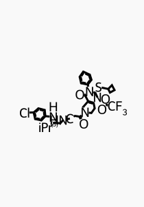 CC(C)[C@@H](CNCCC(=O)N1CCC2=C(C1)C(=O)N(c1ccccc1)C(SC1CCC1)N2OC(=O)C(F)(F)F)Nc1ccc(Cl)cc1